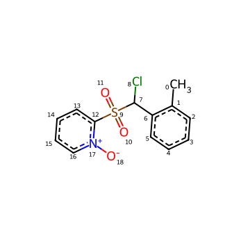 Cc1ccccc1C(Cl)S(=O)(=O)c1cccc[n+]1[O-]